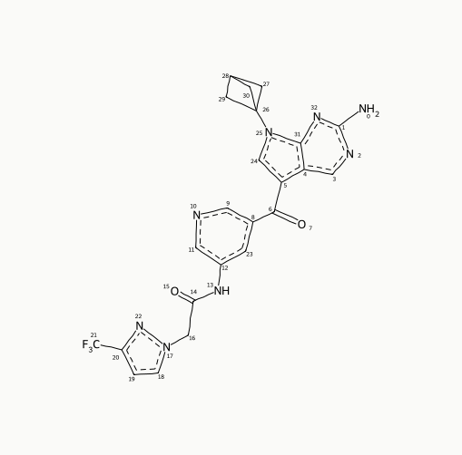 Nc1ncc2c(C(=O)c3cncc(NC(=O)Cn4ccc(C(F)(F)F)n4)c3)cn(C34CC(C3)C4)c2n1